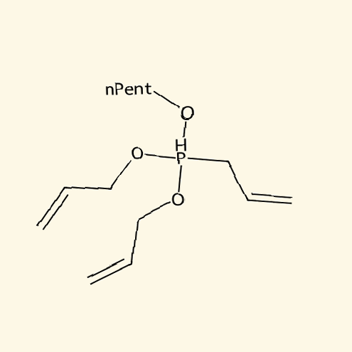 C=CCO[PH](CC=C)(OCC=C)OCCCCC